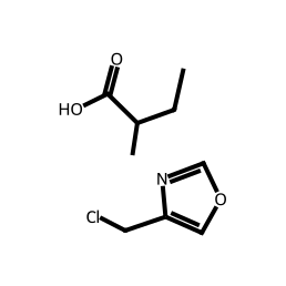 CCC(C)C(=O)O.ClCc1cocn1